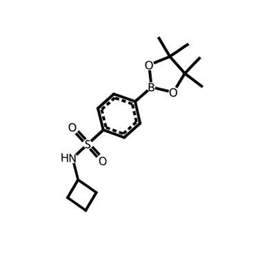 CC1(C)OB(c2ccc(S(=O)(=O)NC3CCC3)cc2)OC1(C)C